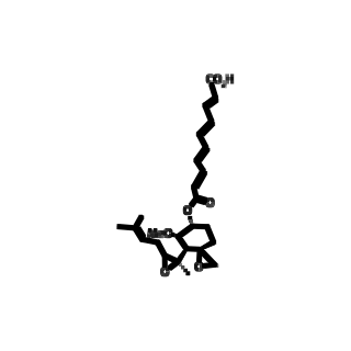 CO[C@@H]1[C@H](OC(=O)/C=C/C=C/C=C/C=C/C(=O)O)CC[C@]2(CO2)[C@H]1[C@@]1(C)OC1CC=C(C)C